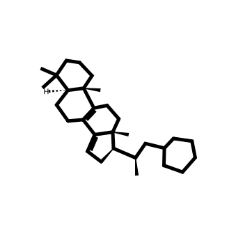 C[C@H](CC1CCCCC1)[C@H]1CC=C2C3=C(CC[C@@]21C)[C@@]1(C)CCCC(C)(C)[C@@H]1CC3